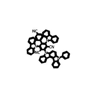 N#Cc1ccc(-c2c(-n3c4ccccc4c4ccccc43)c(C#N)c(-n3c4ccccc4c4c5c6ccccc6n(-c6ccccc6)c5ccc43)c(C#N)c2-n2c3ccccc3c3ccccc32)cc1